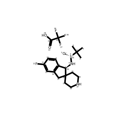 CC(C)(C)[S@@+]([O-])N[C@@H]1c2ccc(F)cc2CC12CCNCC2.O=C(O)C(F)(F)F